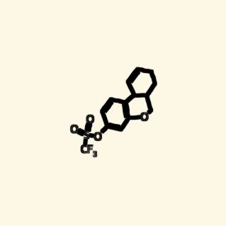 O=S(=O)(Oc1ccc2c(c1)OCC1CCC=CC21)C(F)(F)F